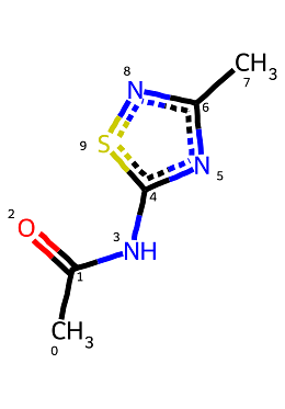 CC(=O)Nc1nc(C)ns1